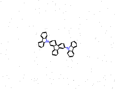 c1ccc2c(c1)c1cc(-n3c4ccccc4c4ccccc43)ccc1c1ccc(-n3c4ccccc4c4ccccc43)cc21